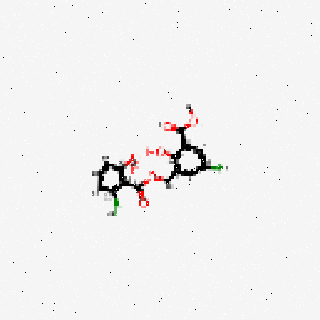 COC(=O)c1cc(F)cc(COC(=O)c2c(O)cccc2F)c1O